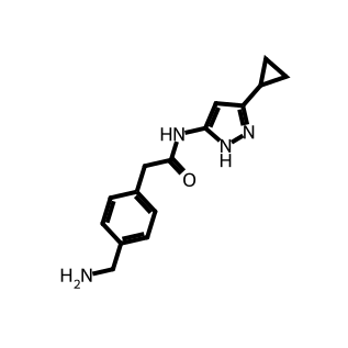 NCc1ccc(CC(=O)Nc2cc(C3CC3)n[nH]2)cc1